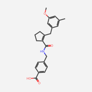 COc1cc(C)cc(CC2=C(C(=O)NCc3ccc(C(=O)O)cc3)CCC2)c1